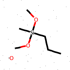 CCC[Si](C)(OC)OC.[O]